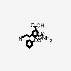 N#CCCc1cc(C(=O)O)cc(S(N)(=O)=O)c1Oc1ccccc1